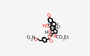 CCOC(=O)O[C@]1(C(=O)COC(=O)c2ccc(CCO[N+](=O)[O-])cc2)CC[C@H]2[C@@H]3CCC4=CC(=O)C=C[C@]4(C)[C@H]3[C@@H](O)C[C@@]21C